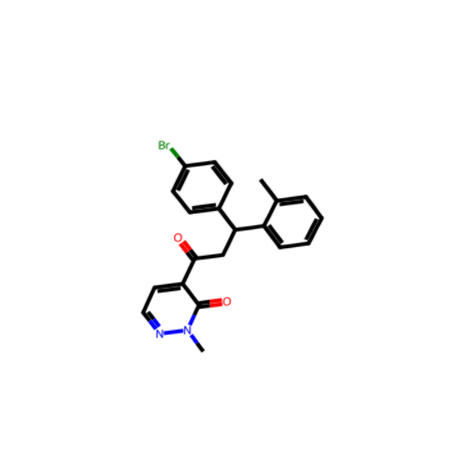 Cc1ccccc1C(CC(=O)c1ccnn(C)c1=O)c1ccc(Br)cc1